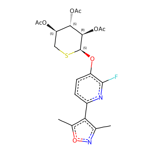 CC(=O)O[C@@H]1[C@@H](OC(C)=O)[C@@H](Oc2ccc(-c3c(C)noc3C)nc2F)SC[C@H]1OC(C)=O